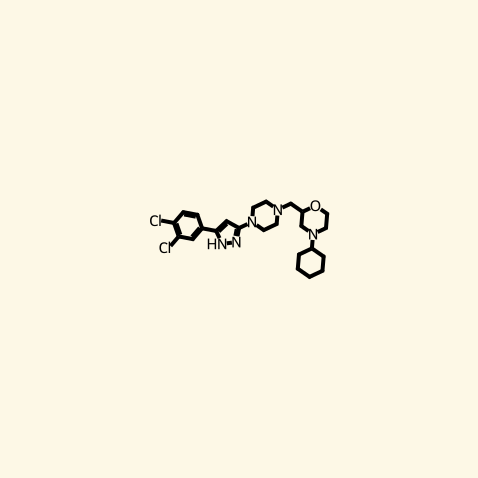 Clc1ccc(-c2cc(N3CCN(CC4CN(C5CCCCC5)CCO4)CC3)n[nH]2)cc1Cl